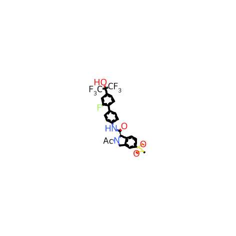 CC(=O)N1Cc2cc(S(C)(=O)=O)ccc2[C@@H]1C(=O)Nc1ccc(-c2ccc(C(O)(C(F)(F)F)C(F)(F)F)cc2F)cc1